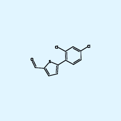 O=Cc1ccc(-c2ccc(Cl)cc2Cl)s1